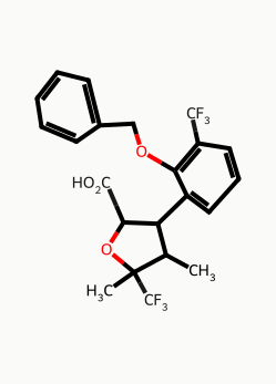 CC1C(c2cccc(C(F)(F)F)c2OCc2ccccc2)C(C(=O)O)OC1(C)C(F)(F)F